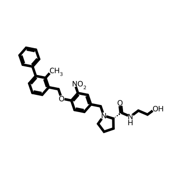 Cc1c(COc2ccc(CN3CCC[C@H]3C(=O)NCCO)cc2[N+](=O)[O-])cccc1-c1ccccc1